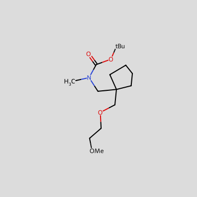 COCCOCC1(CN(C)C(=O)OC(C)(C)C)CCCC1